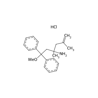 C=C(C)CC(C)(N)CC(OC)(c1ccccc1)c1ccccc1.Cl